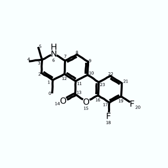 CC1=CC(C)(C)Nc2ccc3c(c21)c(=O)oc1c(F)c(F)ccc13